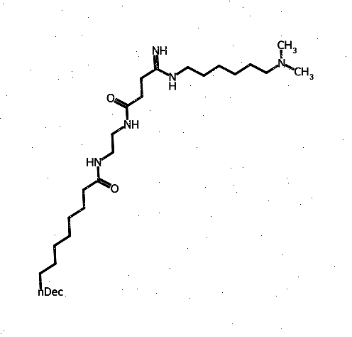 CCCCCCCCCCCCCCCCCC(=O)NCCNC(=O)CCC(=N)NCCCCCCN(C)C